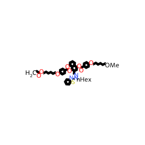 C=CC(=O)OCCCCCCOc1ccc(C(=O)Oc2c(/C=N/N(CCCCCC)c3nc4ccccc4s3)cc(OC(=O)c3ccc(OCCCCCCOC)cc3)c3ccccc23)cc1